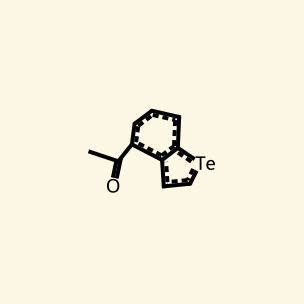 CC(=O)c1cccc2[te]ccc12